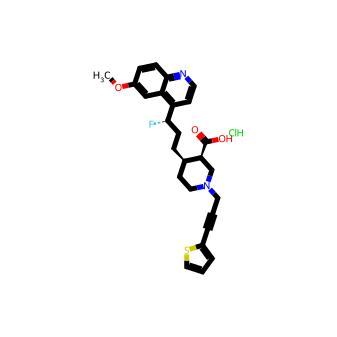 COc1ccc2nccc([C@@H](F)CC[C@@H]3CCN(CC#Cc4cccs4)C[C@@H]3C(=O)O)c2c1.Cl